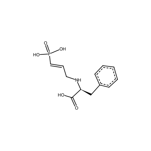 O=C(O)[C@H](Cc1ccccc1)NCC=CP(=O)(O)O